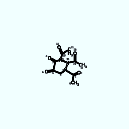 CC(=O)N1CC(=O)C(=O)N(C(C)=O)N1C(C)=O